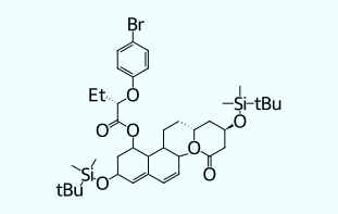 CC[C@H](Oc1ccc(Br)cc1)C(=O)OC1CC(O[Si](C)(C)C(C)(C)C)C=C2C=CC(C)C(CC[C@@H]3C[C@@H](O[Si](C)(C)C(C)(C)C)CC(=O)O3)C21